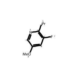 COc1cnc(C(C)C)c(F)c1